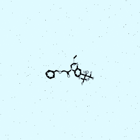 CC[C@H]1CN(C(=O)COCc2ccccc2)c2ccc(C(O)(C(F)(F)F)C(F)(F)F)cc2S1